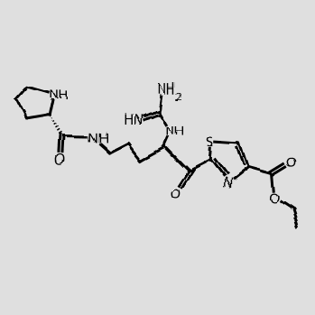 CCOC(=O)c1csc(C(=O)C(CCCNC(=O)[C@@H]2CCCN2)NC(=N)N)n1